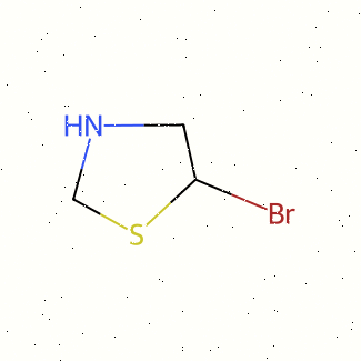 BrC1CNCS1